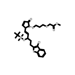 COC(=O)CSCCCS[C@H]1C(=O)C=CC1C=CC(CCc1sc2ccccc2c1Cl)O[Si](C)(C)C(C)(C)C